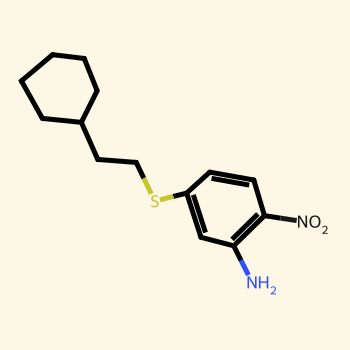 Nc1cc(SCCC2CCCCC2)ccc1[N+](=O)[O-]